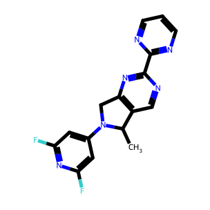 CC1c2cnc(-c3ncccn3)nc2CN1c1cc(F)nc(F)c1